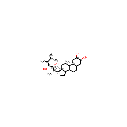 C=C(C(C)C)[C@@H](O)[C@H](O)[C@@H](C)[C@H]1CCC2C3CCC4C[C@H](O)[C@H](O)C[C@]4(C)C3CC[C@@]21C